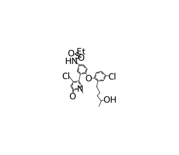 CCS(=O)(=O)Nc1ccc(Oc2ccc(Cl)cc2CCCC(C)O)c(-c2cn(C)c(=O)cc2Cl)c1